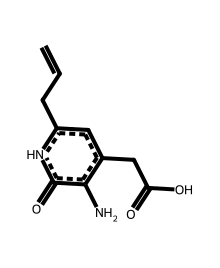 C=CCc1cc(CC(=O)O)c(N)c(=O)[nH]1